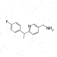 CC(c1ccc(F)cc1)c1ccc(CN)cn1